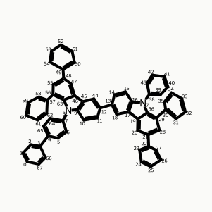 c1ccc(-c2ccc(-n3c4ccc(-c5ccc6c(c5)c5cc(-c7ccccc7)cc(-c7ccccc7)c5n6-c5ccccc5)cc4c4cc(-c5ccccc5)cc(-c5ccccc5)c43)cc2)cc1